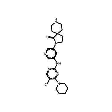 O=C1N(c2cncc(Nc3ncc(Cl)c(N4CCCCC4)n3)c2)CCC12CCNCC2